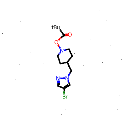 CC(C)(C)C(=O)ON1CCC(Cn2cc(Br)cn2)CC1